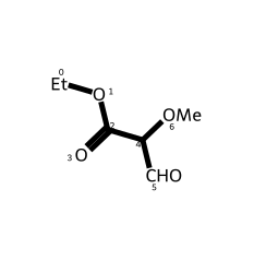 CCOC(=O)C(C=O)OC